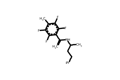 C=C(NC(C)CCC(C)C)c1c(F)c(F)c(C)c(F)c1F